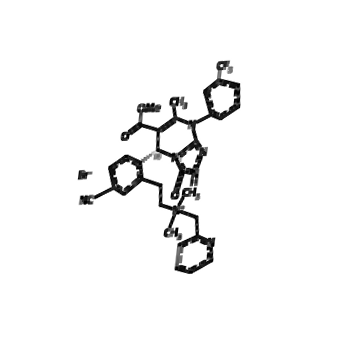 COC(=O)C1=C(C)N(c2cccc(C(F)(F)F)c2)c2n[nH]c(=O)n2[C@@H]1c1ccc(C#N)cc1CC[N+](C)(C)Cc1ccccn1.[Br-]